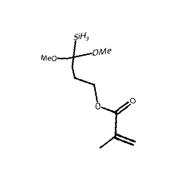 C=C(C)C(=O)OCCC([SiH3])(OC)OC